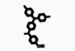 Cc1ccc(N(c2ccc(C)cc2)c2ccc(C(C)c3ccc(C=O)cc3)cc2)cc1